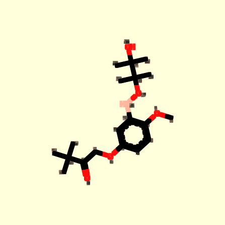 COc1ccc(OCC(=O)C(C)(C)C)cc1BOC(C)(C)C(C)(C)O